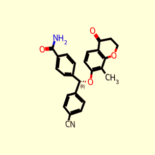 Cc1c(O[C@H](c2ccc(C#N)cc2)c2ccc(C(N)=O)cc2)ccc2c1OCCC2=O